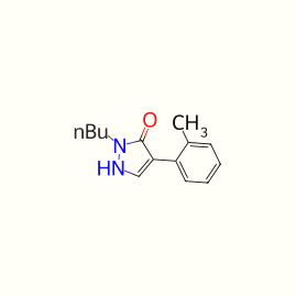 CCCCn1[nH]cc(-c2ccccc2C)c1=O